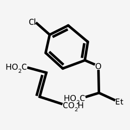 CCC(Oc1ccc(Cl)cc1)C(=O)O.O=C(O)C=CC(=O)O